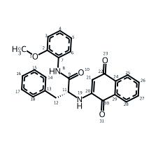 COc1ccccc1NC(=O)[C@@H](Cc1ccccc1)NC1=CC(=O)c2ccccc2C1=O